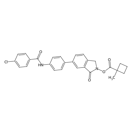 CC1(C(=O)ON2Cc3ccc(-c4ccc(NC(=O)c5ccc(Cl)cc5)cc4)cc3C2=O)CCC1